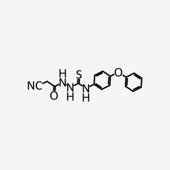 N#CCC(=O)NNC(=S)Nc1ccc(Oc2ccccc2)cc1